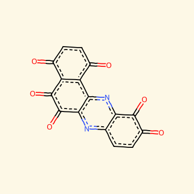 O=c1ccc2nc3c(=O)c(=O)c4c(=O)ccc(=O)c4c3nc2c1=O